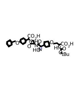 CC(C)(C)OC(=O)NC(CCOc1ccc(/C(=N/O)C(=O)NC2CN(C(C(=O)O)c3ccc(OCc4ccccc4)cc3)C2=O)cc1)C(=O)O